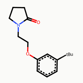 CC(C)(C)c1cccc(OCCN2CCCC2=O)c1